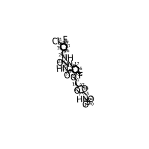 CS(=O)(=O)NCC1COC(CCOc2c(F)ccc3nc(C(=O)NCc4ccc(F)c(Cl)c4)[nH]c(=O)c23)CO1